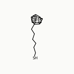 SCCCCCC[C]12[CH]3[CH]4[CH]5[CH]1[Fe]45321678[CH]2[CH]1[CH]6[CH]7[CH]28